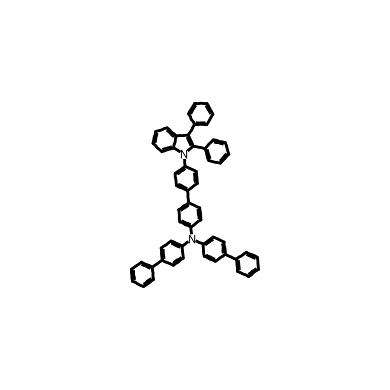 c1ccc(-c2ccc(N(c3ccc(-c4ccccc4)cc3)c3ccc(-c4ccc(-n5c(-c6ccccc6)c(-c6ccccc6)c6ccccc65)cc4)cc3)cc2)cc1